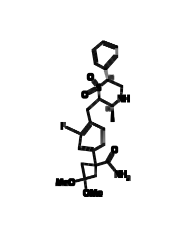 COC1(OC)CC(C(N)=O)(c2ccc(CC3[C@H](C)NC[C@@H](c4ccccc4)S3(=O)=O)c(F)c2)C1